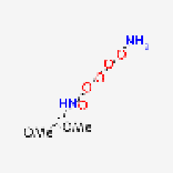 COCC(CCCCNC(=O)CCOCCOCCOCCOCCN)COC